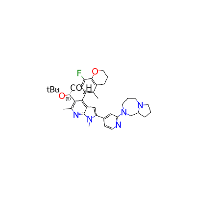 Cc1nc2c(cc(-c3ccnc(N4CCCN5CCCC5C4)c3)n2C)c(-c2cc(F)c3c(c2C)CCCO3)c1[C@H](OC(C)(C)C)C(=O)O